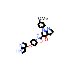 COc1ccc(-n2cc(C(=O)Nc3ccc(Oc4ccnc5[nH]ccc45)cc3)c(=O)c3cccnc32)cc1